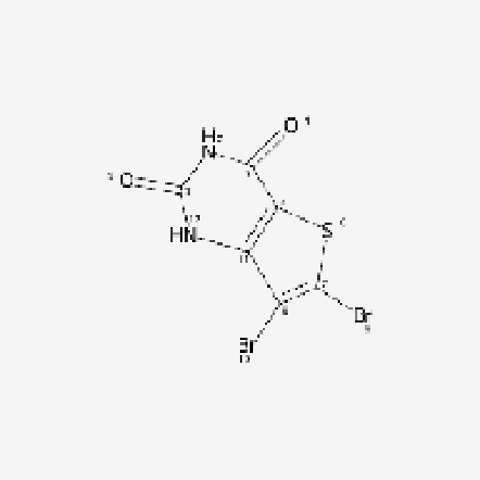 O=c1[nH]c(=O)c2sc(Br)c(Br)c2[nH]1